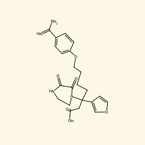 N=C(N)c1ccc(OCCCCC(CC(=O)O)(c2ccoc2)N2CCNC(=O)C2=O)cc1